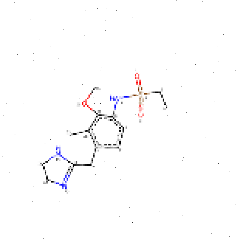 CCS(=O)(=O)Nc1ccc(CC2=NCCN2)c(C)c1OC